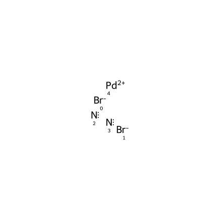 [Br-].[Br-].[N].[N].[Pd+2]